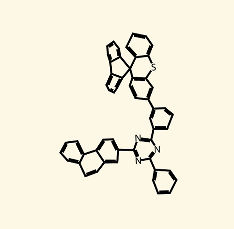 c1ccc(-c2nc(-c3cccc(-c4ccc5c(c4)Sc4ccccc4C54c5ccccc5-c5ccccc54)c3)nc(-c3ccc4c(ccc5ccccc54)c3)n2)cc1